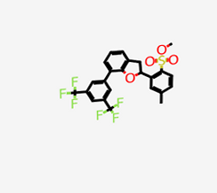 COS(=O)(=O)c1ccc(C)cc1C1Cc2cccc(-c3cc(C(F)(F)F)cc(C(F)(F)F)c3)c2O1